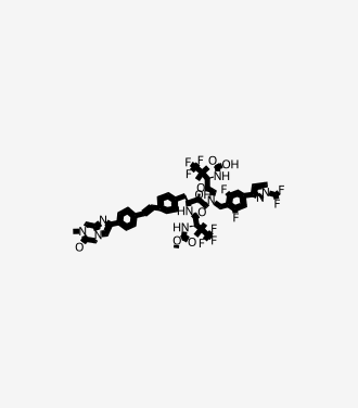 COC(=O)N[C@H](C(=O)N[C@@H](Cc1ccc(C#Cc2ccc(-c3cn4c(n3)CN(C)C(=O)C4)cc2)cc1)[C@@H](O)CN(CC(=O)[C@@H](NC(=O)O)C(C)(C)C(F)(F)F)Cc1c(F)cc(-c2ccn(C(F)F)n2)cc1F)C(C)(C)C(F)(F)F